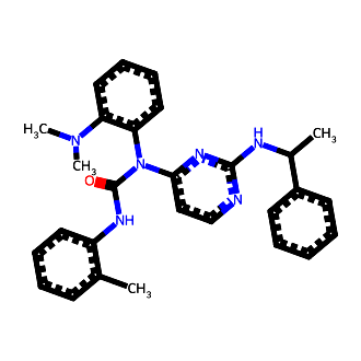 Cc1ccccc1NC(=O)N(c1ccnc(NC(C)c2ccccc2)n1)c1ccccc1N(C)C